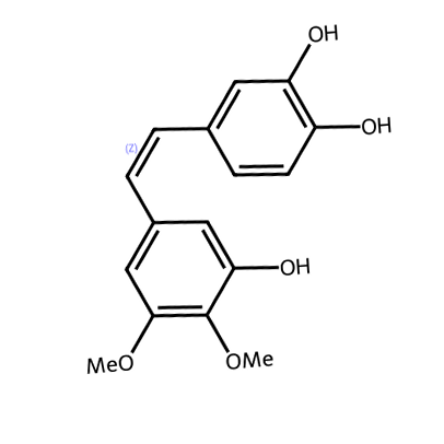 COc1cc(/C=C\c2ccc(O)c(O)c2)cc(O)c1OC